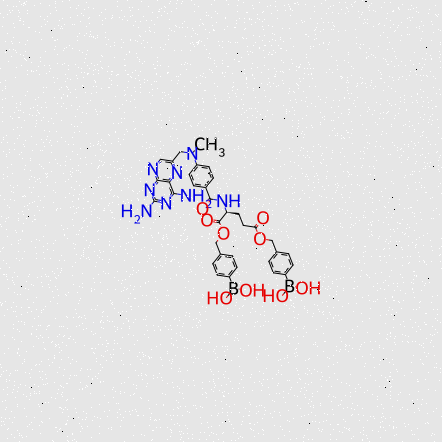 CN(Cc1cnc2nc(N)nc(N)c2n1)c1ccc(C(=O)N[C@@H](CCC(=O)OCc2ccc(B(O)O)cc2)C(=O)OCc2ccc(B(O)O)cc2)cc1